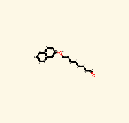 O=CCCCCCCCOc1ccc2ccccc2c1